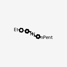 CCCCCc1ccc(C=NN=Cc2ccc([C@H]3CC[C@H](CC)CC3)cc2)cc1